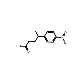 CC(CCC(=O)O)c1ccc([N+](=O)[O-])cc1